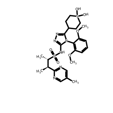 COc1cccc(OC)c1-n1c(NS(=O)(=O)[C@@H](C)[C@H](C)c2ncc(C)cn2)nnc1C1CCS(O)(O)CC1